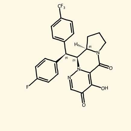 O=C1c2c(O)c(=O)cnn2[C@@H]([C@@H](c2ccc(F)cc2)c2ccc(C(F)(F)F)cc2)[C@H]2CCCN12